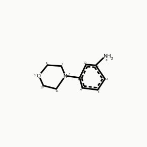 Nc1c[c]cc(N2CCOCC2)c1